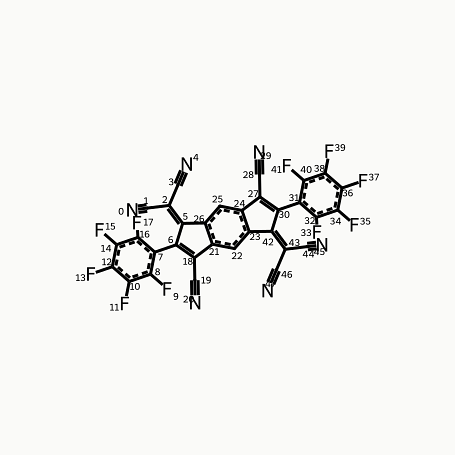 N#CC(C#N)=C1C(c2c(F)c(F)c(F)c(F)c2F)=C(C#N)c2cc3c(cc21)C(C#N)=C(c1c(F)c(F)c(F)c(F)c1F)C3=C(C#N)C#N